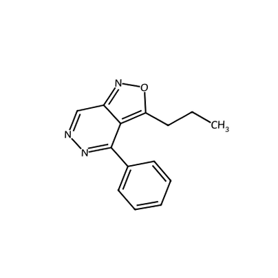 CCCc1onc2cnnc(-c3ccccc3)c12